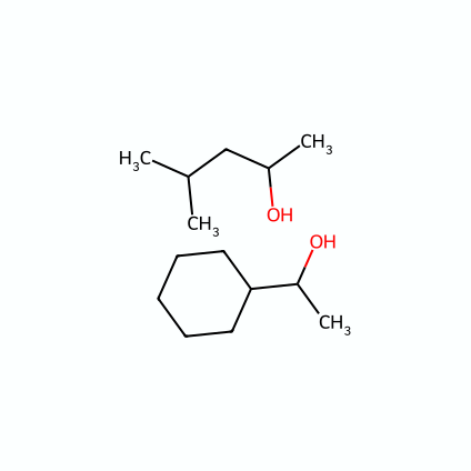 CC(C)CC(C)O.CC(O)C1CCCCC1